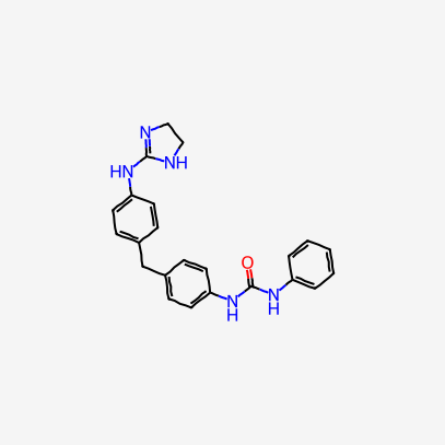 O=C(Nc1ccccc1)Nc1ccc(Cc2ccc(NC3=NCCN3)cc2)cc1